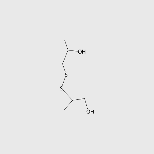 CC(O)CSSC(C)CO